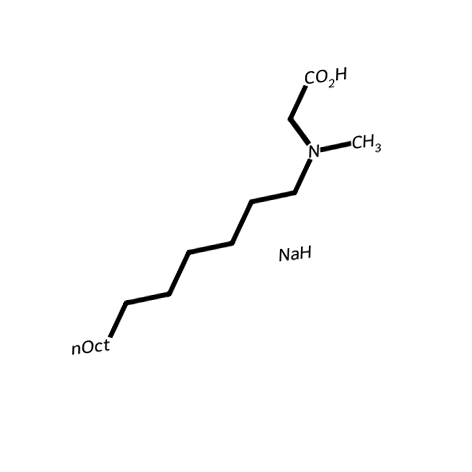 CCCCCCCCCCCCCCN(C)CC(=O)O.[NaH]